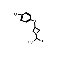 Cc1ccc(OC2CN(C(C)S)C2)cc1